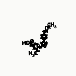 CCON=Cc1ccc(C2=NOC(CN3CCC(CC(=O)O)CC3CC)C2)cc1